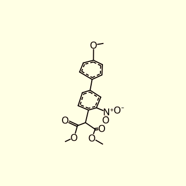 COC(=O)C(C(=O)OC)c1ccc(-c2ccc(OC)cc2)cc1[N+](=O)[O-]